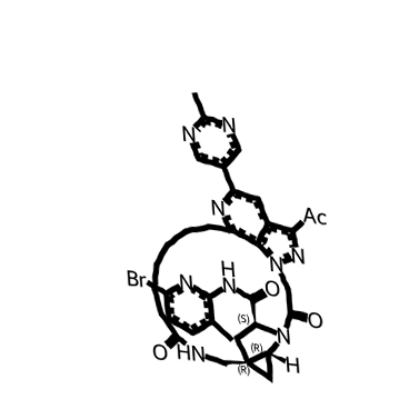 CC(=O)c1nn2c3c(nc(-c4cnc(C)nc4)cc13)CCCCCCC(=O)NC[C@@]13C[C@@H](C(=O)Nc4nc(Br)ccc4C)N(C(=O)C2)[C@@H]1C3